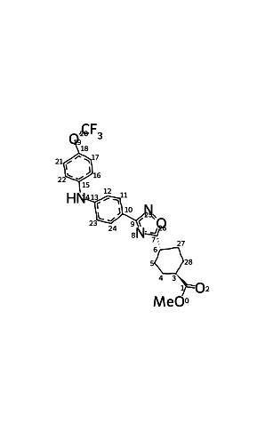 COC(=O)[C@H]1CC[C@H](c2nc(-c3ccc(Nc4ccc(OC(F)(F)F)cc4)cc3)no2)CC1